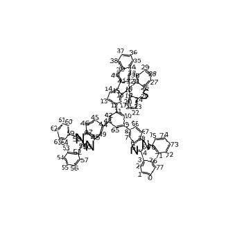 c1ccc(-c2nc3cc(-c4cc(-c5ccc6c(c5)C5(c7ccccc7Sc7ccccc75)c5cc7ccccc7cc5-6)cc(-c5ccc6c(c5)nc(-c5ccccc5)n6-c5ccccc5)c4)ccc3n2-c2ccccc2)cc1